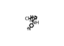 CN(C)[C@H]1CC[C@H](Nc2nc(Cl)nn3cccc23)CC1